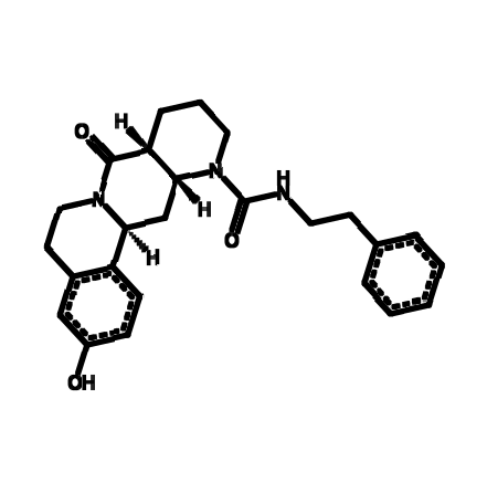 O=C(NCCc1ccccc1)N1CCC[C@H]2C(=O)N3CCc4cc(O)ccc4[C@@H]3C[C@H]21